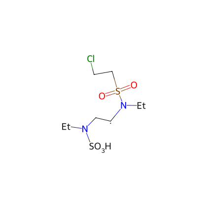 CCN(C[CH]N(CC)S(=O)(=O)CCCl)S(=O)(=O)O